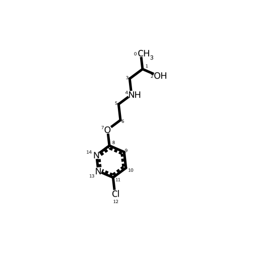 CC(O)CNCCOc1ccc(Cl)nn1